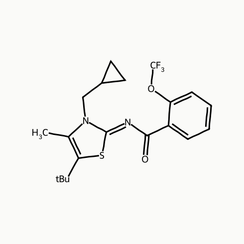 Cc1c(C(C)(C)C)s/c(=N\C(=O)c2ccccc2OC(F)(F)F)n1CC1CC1